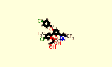 Cn1nc(C(F)(F)F)cc1-c1ccc(OCc2ccc(Cl)cc2)c(-c2ccc(Cl)c(C(F)(F)F)c2)c1OC(=O)C(O)CO